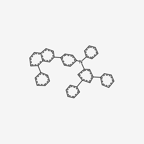 c1ccc(-c2cc(-c3ccccc3)cc(N(c3ccccc3)c3ccc(-c4ccc5cccc(-c6ccccc6)c5c4)cc3)c2)cc1